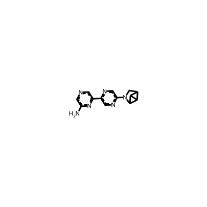 Nc1cncc(-c2cnc(N3CC4C5C4C53)cn2)n1